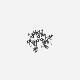 Cc1[nH]c2ccccc2c1CC(=O)[C@](N)(CCCCNC(=O)OC(C)(C)C)C(=O)Nc1ccc(C(c2ccc(NC(=O)[C@@](N)(CCCCNC(=O)OC(C)(C)C)C(=O)Cc3c(C)[nH]c4ccccc34)cc2)c2ccc(NC(=O)[C@@](N)(CCCCNC(=O)OC(C)(C)C)C(=O)Cc3c(C)[nH]c4ccccc34)cc2)cc1